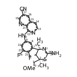 COC[C@@]1(C)C[C@@](C)(c2cc(Nc3nccc4cc(C#N)cnc34)cc(F)c2F)N=C(N)S1